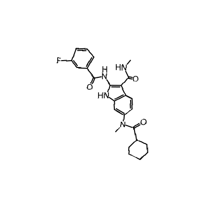 CNC(=O)c1c(NC(=O)c2cccc(F)c2)[nH]c2cc(N(C)C(=O)C3CCCCC3)ccc12